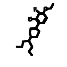 CCCC(CCC)C1CC=C(c2ccc(OCC)c(F)c2Cl)CC1